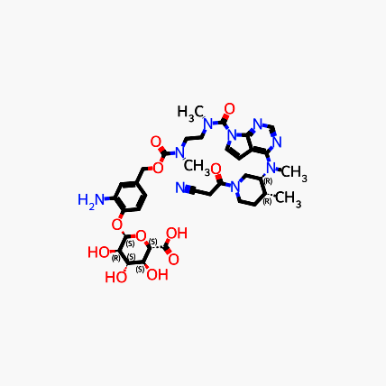 C[C@@H]1CCN(C(=O)CC#N)C[C@@H]1N(C)c1ncnc2c1ccn2C(=O)N(C)CCN(C)C(=O)OCc1ccc(O[C@@H]2O[C@H](C(=O)O)[C@@H](O)[C@H](O)[C@H]2O)c(N)c1